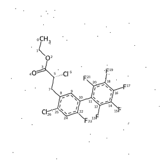 CCOC(=O)[C@H](Cl)Cc1cc(-c2c(F)c(F)c(F)c(F)c2F)c(F)cc1Cl